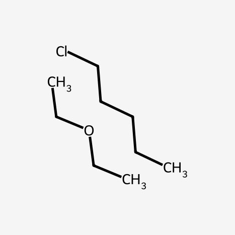 CCCCCCl.CCOCC